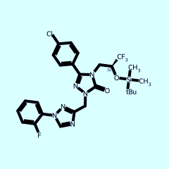 CC(C)(C)[Si](C)(C)O[C@@H](Cn1c(-c2ccc(Cl)cc2)nn(Cc2ncn(-c3ccccc3F)n2)c1=O)C(F)(F)F